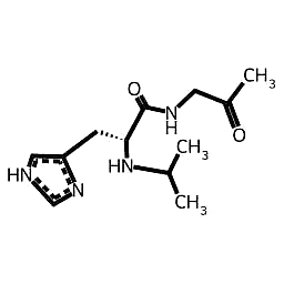 CC(=O)CNC(=O)[C@@H](Cc1c[nH]cn1)NC(C)C